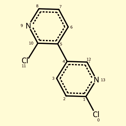 Clc1ccc(-c2cccnc2Cl)[c]n1